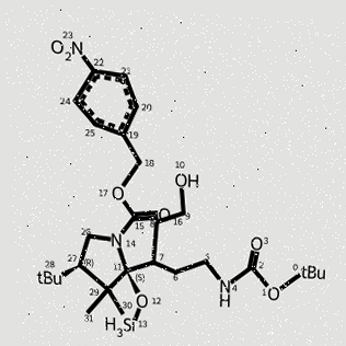 CC(C)(C)OC(=O)NCCC(CCO)[C@@]1(O[SiH3])N(C(=O)OCc2ccc([N+](=O)[O-])cc2)C[C@H](C(C)(C)C)C1(C)C